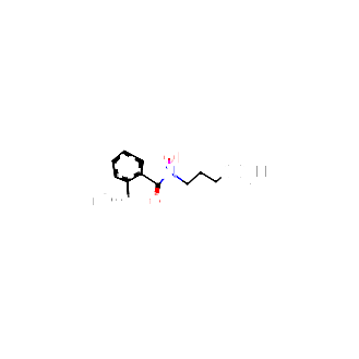 CCCCCCCCCCc1ccccc1C(=O)N(O)CCCC(=O)O